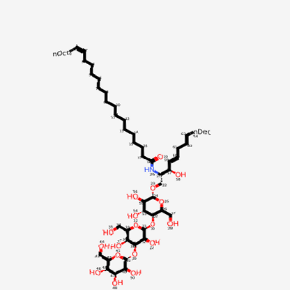 CCCCCCCC/C=C\CCCCCCCCCCCCCCCC(=O)N[C@@H](CO[C@@H]1OC(CO)[C@@H](O[C@@H]2OC(CO)[C@H](O)[C@H](O[C@H]3OC(CO)[C@H](O)[C@H](O)C3O)C2O)[C@H](O)C1O)[C@H](O)/C=C/CCCCCCCCCCCCC